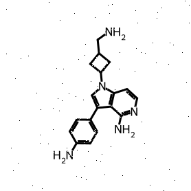 NCC1CC(n2cc(-c3ccc(N)cc3)c3c(N)nccc32)C1